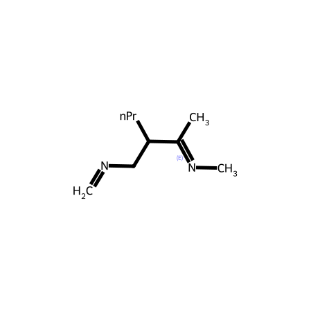 C=NCC(CCC)/C(C)=N/C